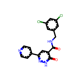 O=C(NCc1cc(Cl)cc(Cl)c1)c1cc(-c2ccncc2)n[nH]c1=O